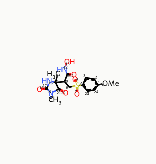 COc1ccc(S(=O)(=O)CC(C(=O)NO)C2(C)NC(=O)N(C)C2=O)cc1